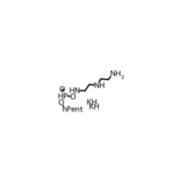 CCCCCO[PH](=O)ONCCNCCN.[KH].[KH]